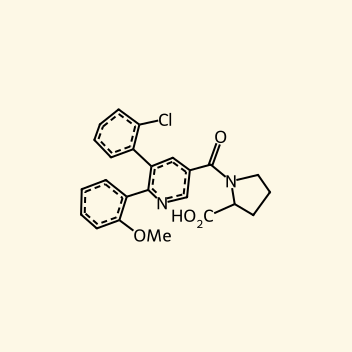 COc1ccccc1-c1ncc(C(=O)N2CCCC2C(=O)O)cc1-c1ccccc1Cl